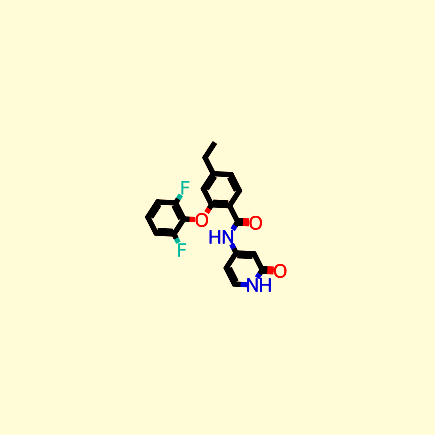 CCc1ccc(C(=O)Nc2cc[nH]c(=O)c2)c(Oc2c(F)cccc2F)c1